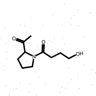 CC(=O)C1CCCN1C(=O)CCCO